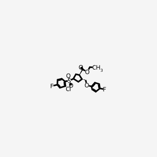 CCOC(=O)[C@@H]1CC(S(=O)(=O)c2ccc(F)cc2Cl)C[C@H]1COc1ccc(F)cc1